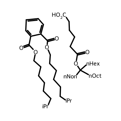 CC(C)CCCCCCOC(=O)c1ccccc1C(=O)OCCCCCCC(C)C.CCCCCCCCCC(CCCCCC)(CCCCCCCC)OC(=O)CCCCC(=O)O